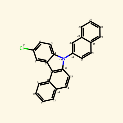 Clc1ccc2c(c1)c1c3ccccc3ccc1n2-c1ccc2ccccc2c1